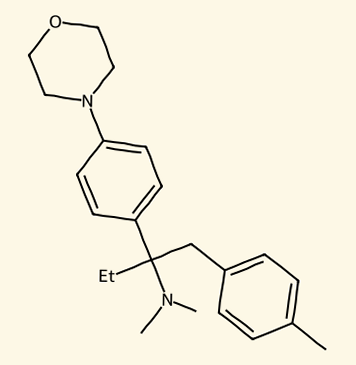 CCC(Cc1ccc(C)cc1)(c1ccc(N2CCOCC2)cc1)N(C)C